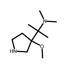 COC1(C(C)(C)N(C)C)CCNC1